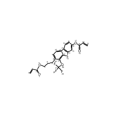 C=CC(=O)OCCCc1ccc2c(sc3cc(OC(=O)C=C)ccc32)c1OC(F)(F)F